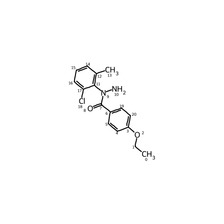 CCOc1ccc(C(=O)N(N)c2c(C)cccc2Cl)cc1